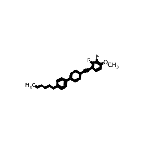 CCCCCCc1ccc(C2CCC(C#Cc3ccc(OC)c(F)c3F)CC2)cc1